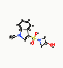 Cn1cc(S(=O)(=O)N2CC(O)C2)c2ccccc21